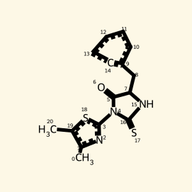 Cc1nc(N2C(=O)C(Cc3ccccc3)NC2=S)sc1C